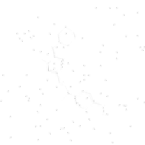 COc1ccc(C(=O)/C=C/c2ccc(CN3CCCCC3)c(O)c2)cc1